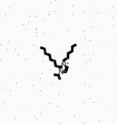 CCCCCCCc1n(C(C)C)cc[n+]1CCCCCC